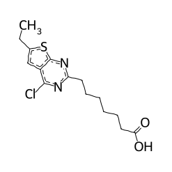 CCc1cc2c(Cl)nc(CCCCCCC(=O)O)nc2s1